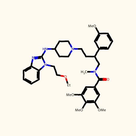 CCOCCn1c(NC2CCN(CCC(CN(C)C(=O)c3cc(OC)c(OC)c(OC)c3)c3cccc(OC)c3)CC2)nc2ccccc21